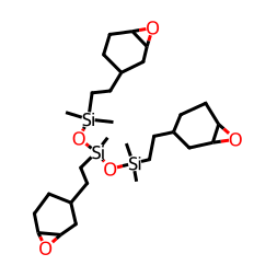 C[Si](C)(CCC1CCC2OC2C1)O[Si](C)(CCC1CCC2OC2C1)O[Si](C)(C)CCC1CCC2OC2C1